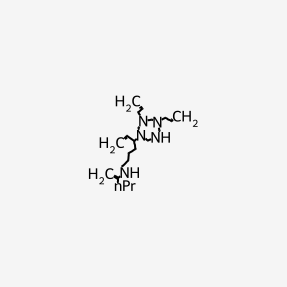 C=CCN1CNCN(C(C=C)CCCCNC(=C)CCC)CN(CC=C)C1